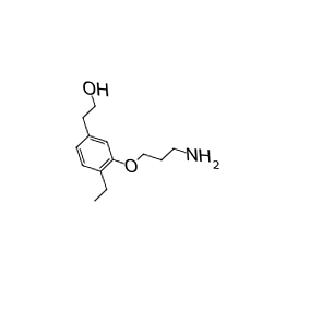 CCc1ccc(CCO)cc1OCCCN